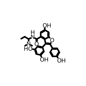 CCC(NC(=O)c1cc(O)cc2oc(-c3ccc(O)cc3)c(-c3cc(O)cc(O)c3)c12)N(C)C